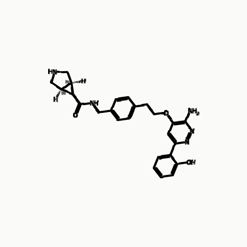 Nc1nnc(-c2ccccc2O)cc1OCCc1ccc(CNC(=O)C2[C@H]3CNC[C@@H]23)cc1